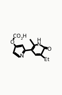 CCc1cc(-c2cc(OC(=O)O)ccn2)c(C)[nH]c1=O